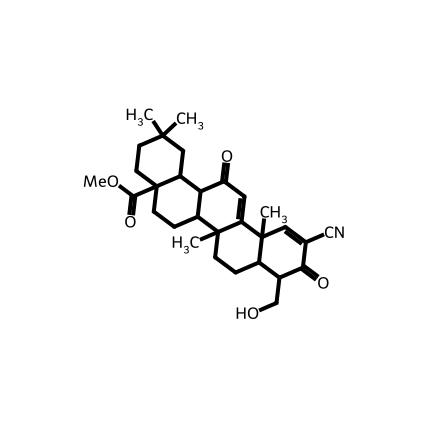 COC(=O)C12CCC3C(C(=O)C=C4C5(C)C=C(C#N)C(=O)C(CO)C5CCC43C)C1CC(C)(C)CC2